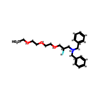 O=C(O)COCCOCCOCC(F)CN(Cc1ccccc1)Cc1ccccc1